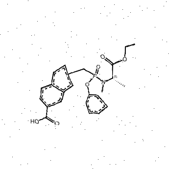 CCOC(=O)[C@H](C)N(C)P(=O)(Cc1ccc2ccc(C(=O)O)cc2c1)Oc1ccccc1